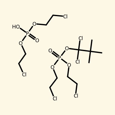 CC(C)(C)C(Cl)(Cl)OP(=O)(OCCCl)OCCCl.O=P(O)(OCCCl)OCCCl